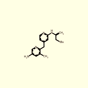 C=C(CC(C)(C)C)Nc1cc(Cc2ncc(N)cc2C)ccn1